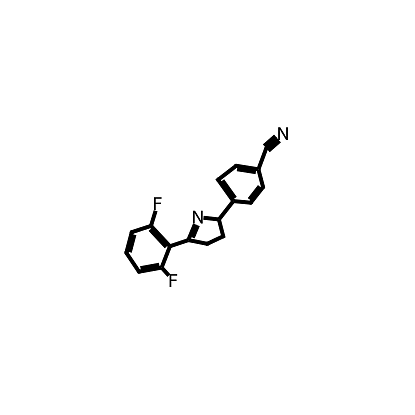 N#Cc1ccc(C2CCC(c3c(F)cccc3F)=N2)cc1